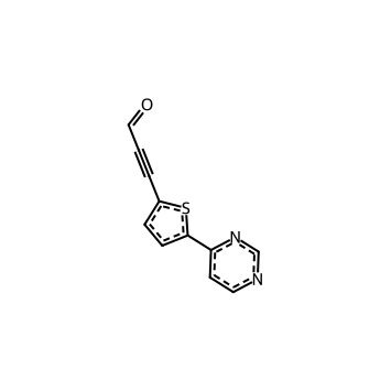 O=CC#Cc1ccc(-c2ccncn2)s1